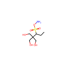 CCC(C(CO)(CO)CO)S(=O)(=O)ON